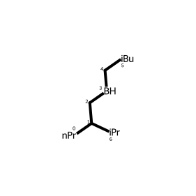 CCCC(CBCC(C)CC)C(C)C